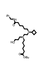 CC(C)CNC(=O)CCCCCN(CCN(CCCO)CCCCCC(=O)OCC(C)C)C1CCC1